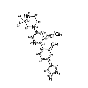 Cl.Cl.Oc1cc(-c2cn[nH]c2)ccc1-c1cnc(N2CCNC3(CC3)C2)nn1